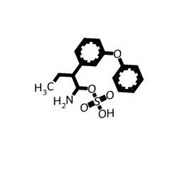 CCC(c1cccc(Oc2ccccc2)c1)C(N)OS(=O)(=O)O